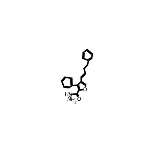 NNC(=O)c1occ(/C=C/CCc2ccccc2)c1-c1ccccc1